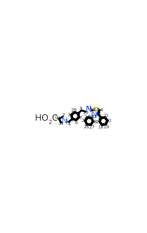 O=C(O)C1CN(Cc2ccc(CCN=c3scc(-c4ccccc4)n3-c3ccccc3)cc2)C1